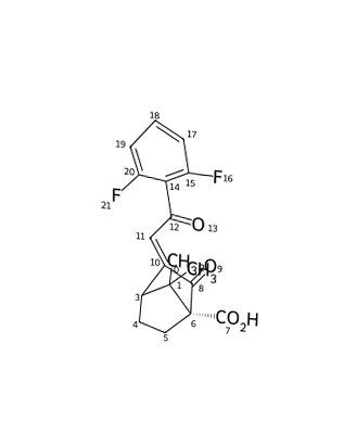 CC1(C)C2CC[C@]1(C(=O)O)C(=O)/C2=C\C(=O)c1c(F)cccc1F